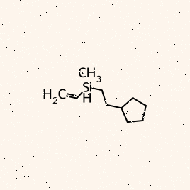 C=C[SiH](C)CCC1CCCC1